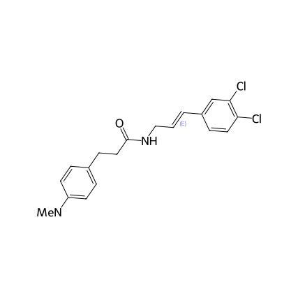 CNc1ccc(CCC(=O)NC/C=C/c2ccc(Cl)c(Cl)c2)cc1